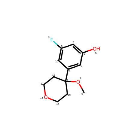 COC1(c2cc(O)cc(F)c2)CCOCC1